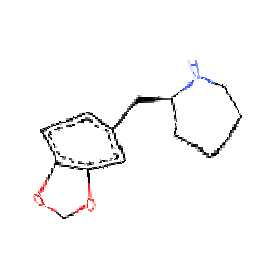 c1cc2c(cc1C[C@@H]1CCCCN1)OCO2